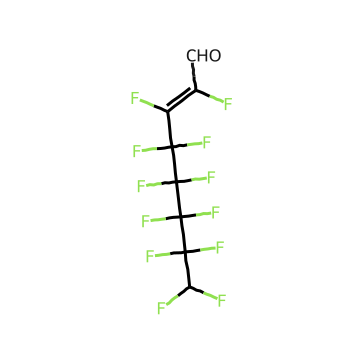 O=CC(F)=C(F)C(F)(F)C(F)(F)C(F)(F)C(F)(F)C(F)F